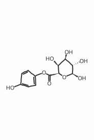 O=C(Oc1ccc(O)cc1)[C@@H]1O[C@H](O)[C@@H](O)[C@H](O)[C@@H]1O